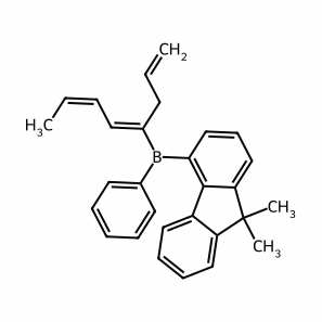 C=CC/C(=C\C=C/C)B(c1ccccc1)c1cccc2c1-c1ccccc1C2(C)C